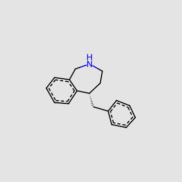 c1ccc(C[C@H]2CCNCc3ccccc32)cc1